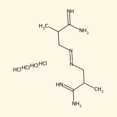 CC(CN=NCC(C)C(=N)N)C(=N)N.Cl.Cl.Cl.Cl